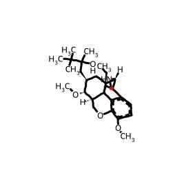 CC[C@]12C[C@H](CC(C)(O)C(C)(C)C)[C@@H](OC)[C@@H]3COc4c(OC)ccc5c4[C@@]31CCN[C@@H]2C5